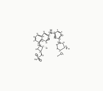 CO[C@@H]1CCN(c2nccc(Nc3cc4cccc(N5C[C@H](CS(C)(=O)=O)[C@H]5C)c4cn3)n2)C[C@@H]1F